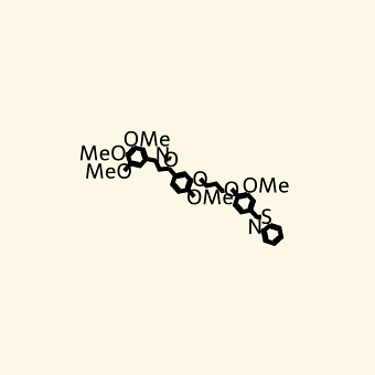 COc1cc(-c2nc3ccccc3s2)ccc1OCCCOc1cc(C2CC(c3cc(OC)c(OC)c(OC)c3)=NO2)ccc1OC